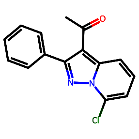 CC(=O)c1c(-c2ccccc2)nn2c(Cl)cccc12